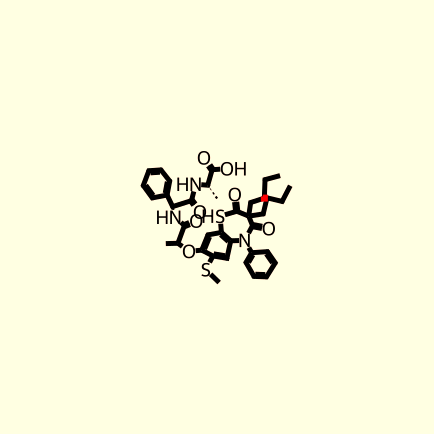 CCCCC1(CCCC)C(=O)[SH]c2cc(OC(C)C(=O)N[C@@H](C(=O)N[C@@H](C)C(=O)O)c3ccccc3)c(SC)cc2N(c2ccccc2)C1=O